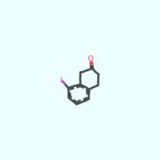 O=C1CCc2cccc(I)c2C1